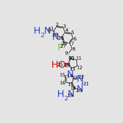 Nc1ccc2ccc(CC[C@@H]3CCC(n4ccc5c(N)ncnc54)[C@H]3O)c(F)c2n1